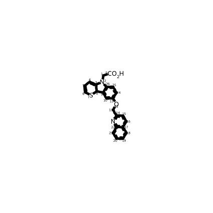 O=C(O)CN1C2=CC=CSC2c2cc(OCc3ccc4ccccc4n3)ccc21